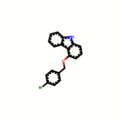 Brc1ccc(COc2cccc3[nH]c4ccccc4c23)cc1